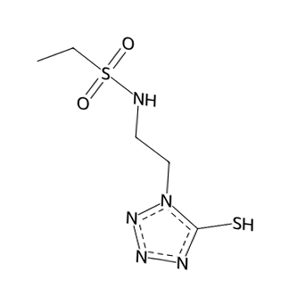 CCS(=O)(=O)NCCn1nnnc1S